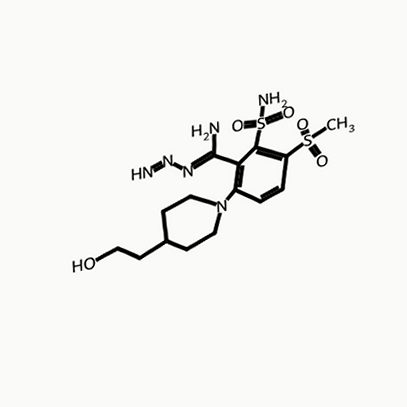 CS(=O)(=O)c1ccc(N2CCC(CCO)CC2)c(/C(N)=N/N=N)c1S(N)(=O)=O